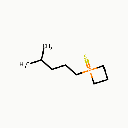 CC(C)CCCP1(=S)CCC1